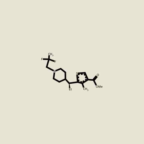 CC[C@H](c1scc(C(=O)OC)c1C)C1CCN(CC(C)(F)F)CC1